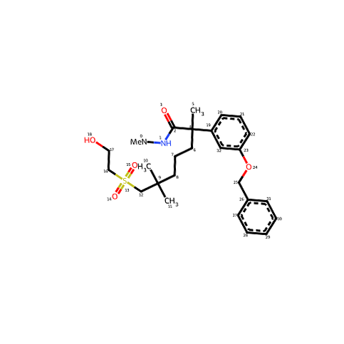 CNNC(=O)C(C)(CCCC(C)(C)CS(=O)(=O)CCO)c1cccc(OCc2ccccc2)c1